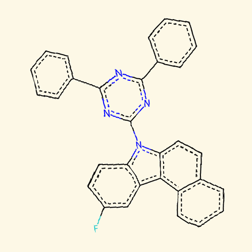 Fc1ccc2c(c1)c1c3ccccc3ccc1n2-c1nc(-c2ccccc2)nc(-c2ccccc2)n1